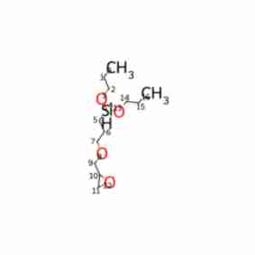 CCCO[SiH](CCCOCC1CO1)OCCC